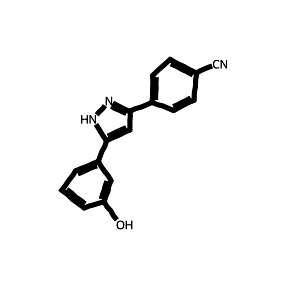 N#Cc1ccc(-c2cc(-c3cccc(O)c3)[nH]n2)cc1